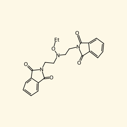 [CH2]CON(CCN1C(=O)c2ccccc2C1=O)CCN1C(=O)c2ccccc2C1=O